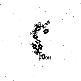 Cc1c(C(=O)N[C@H]2CC[C@@H](O)CC2)c(-c2cccc(N3CCN(c4ccc(NS(=O)(=O)c5ccc(N[C@H](CCN(C)C)CSc6ccccc6)c([N+](=O)[O-])c5)cc4)CC3)c2)c(-c2ccc(Cl)cc2)n1C